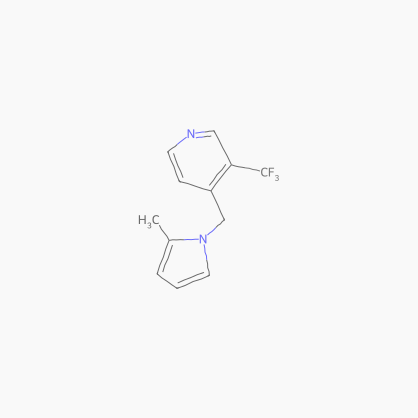 Cc1cccn1Cc1ccncc1C(F)(F)F